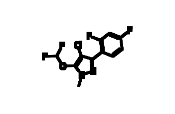 Cn1nc(-c2ccc(F)cc2F)c(Cl)c1OC(F)F